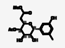 COC(=O)C[C@H]1O[C@H](c2cc(C)cc(O)c2)[C@@H](O)[C@@H](O)[C@H]1OC(C)=O